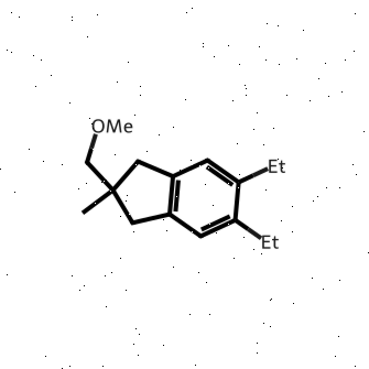 CCc1cc2c(cc1CC)CC(C)(COC)C2